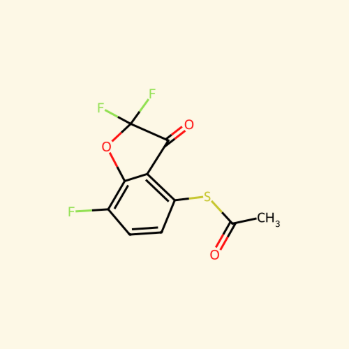 CC(=O)Sc1ccc(F)c2c1C(=O)C(F)(F)O2